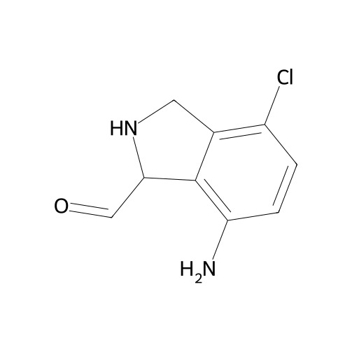 Nc1ccc(Cl)c2c1C(C=O)NC2